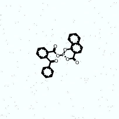 O=C(OP1OC(=O)c2ccc3ccccc3c2O1)c1ccccc1C(=O)c1ccccc1